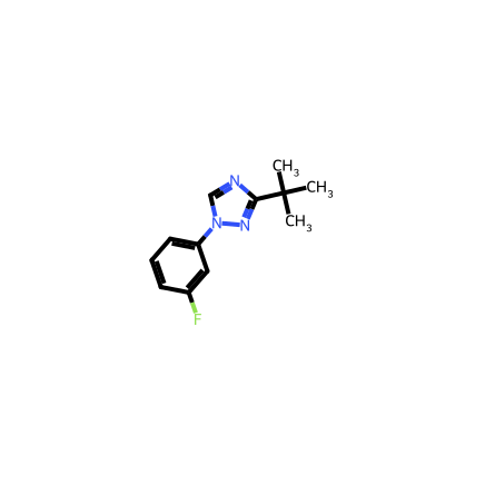 CC(C)(C)c1ncn(-c2cccc(F)c2)n1